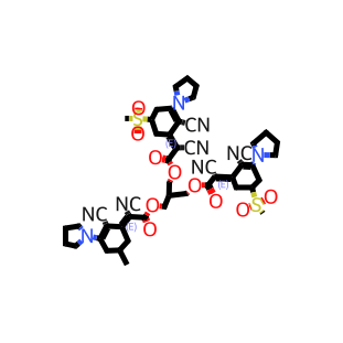 CC1CC(N2CCCC2)=C(C#N)/C(=C(\C#N)C(=O)OCC(COC(=O)/C(C#N)=C2\CC(S(C)(=O)=O)CC(N3CCCC3)=C2C#N)COC(=O)/C(C#N)=C2\CC(S(C)(=O)=O)CC(N3CCCC3)=C2C#N)C1